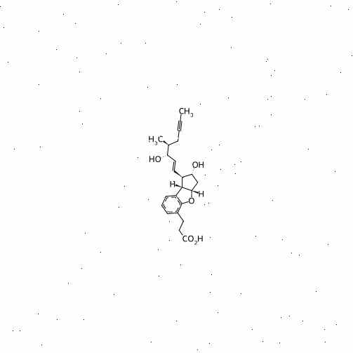 CC#CC[C@H](C)[C@@H](O)/C=C/[C@@H]1[C@H]2c3cccc(CCC(=O)O)c3O[C@H]2C[C@H]1O